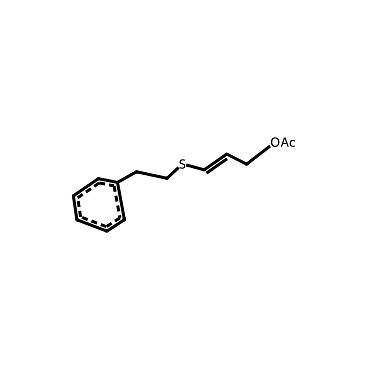 CC(=O)OCC=CSCCc1ccccc1